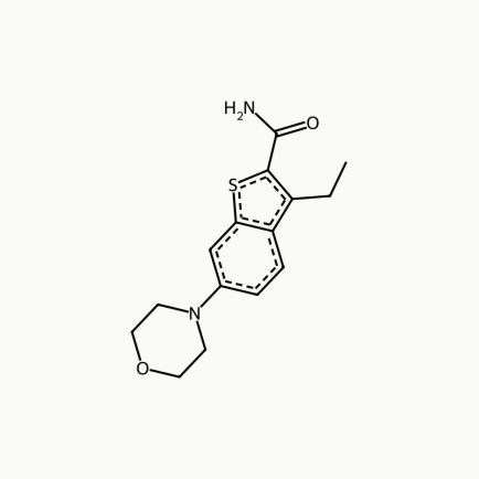 CCc1c(C(N)=O)sc2cc(N3CCOCC3)ccc12